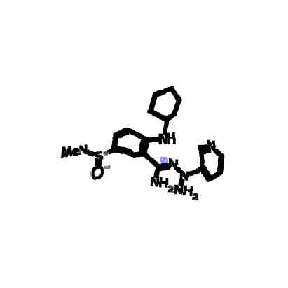 CN[S+]([O-])c1ccc(NC2CCCCC2)c(/C(N)=N/N(N)c2cccnc2)c1